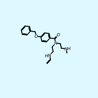 C=CNCCN(CCNC)C(=O)c1ccc(OCc2ccccc2)cc1